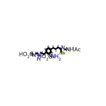 CC(=O)Nc1nc(CCCc2ccc(CCNC=NC(=O)O)cc2)cs1.NC(=O)O